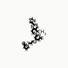 CC1c2cnc(-c3cscn3)nc2CCN1c1cc(OCCCN2CCCC2=O)cc(F)n1